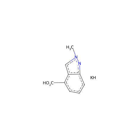 Cn1cc2c(C(=O)O)cccc2n1.[KH]